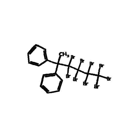 CC(c1ccccc1)(c1ccccc1)C(Br)(Br)C(Br)(Br)C(Br)(Br)C(Br)(Br)Br